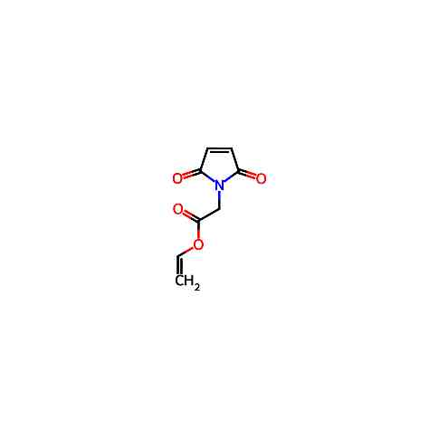 C=COC(=O)CN1C(=O)C=CC1=O